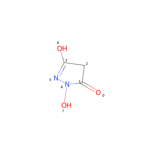 O=C1CC(O)=NN1O